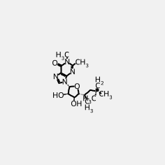 C=P(C)(C)CC(C)[C@H]1O[C@@H](n2cnc3c(=O)n(C)c(C)nc32)[C@H](O)[C@@H]1O